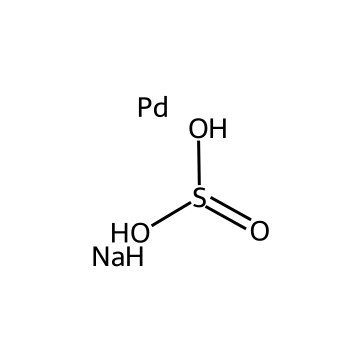 O=S(O)O.[NaH].[Pd]